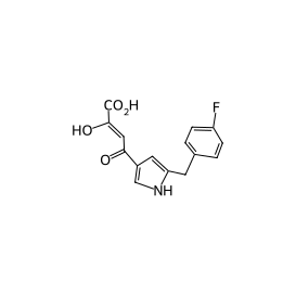 O=C(O)C(O)=CC(=O)c1c[nH]c(Cc2ccc(F)cc2)c1